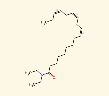 CC/C=C\C/C=C\C/C=C\CCCCCCCC(=O)N(CC)CC